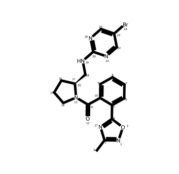 Cc1noc(-c2ccccc2C(=O)N2CCC[C@H]2CNc2ncc(Br)cn2)n1